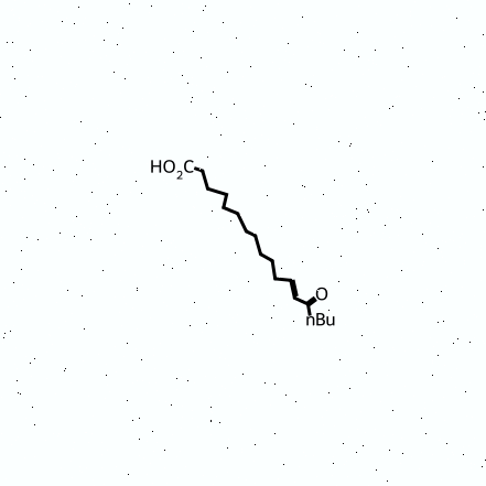 CCCCC(=O)/C=C/CCCCCCCCCCC(=O)O